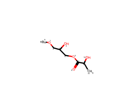 CCCCOCC(O)COC(=O)C(C)O